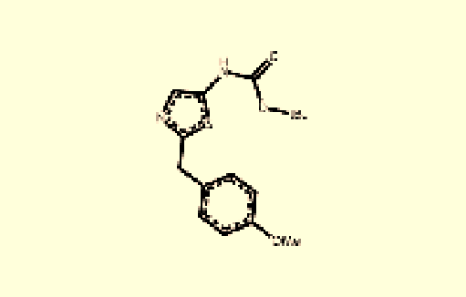 COc1ccc(Cc2ncc(NC(=O)OC(C)(C)C)s2)cc1